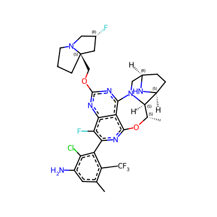 Cc1cc(N)c(Cl)c(-c2nc3c4c(nc(OC[C@@]56CCCN5C[C@H](F)C6)nc4c2F)N2C[C@H]4CC[C@H](N4)[C@H]2[C@H](C)O3)c1C(F)(F)F